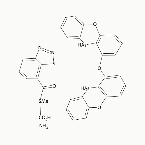 CC(=O)O.CSC(=O)c1cccc2nnsc12.N.c1ccc2c(c1)Oc1cccc(Oc3cccc4c3[AsH]c3ccccc3O4)c1[AsH]2